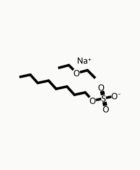 CCCCCCCCOS(=O)(=O)[O-].CCOCC.[Na+]